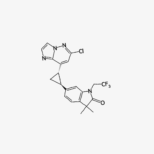 CC1(C)C(=O)N(CC(F)(F)F)c2cc([C@H]3C[C@@H]3c3cc(Cl)nn4ccnc34)ccc21